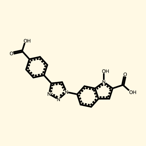 O=C(O)c1ccc(-c2cn(-c3ccc4cc(C(=O)O)n(O)c4c3)nn2)cc1